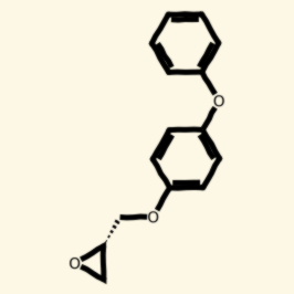 c1ccc(Oc2ccc(OC[C@@H]3CO3)cc2)cc1